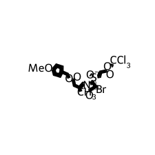 COc1ccc(COC(=O)CC(C)=CN2C(=O)[C@H](Br)[C@H]2[S+]([O-])C=CC(=O)OCC(Cl)(Cl)Cl)cc1